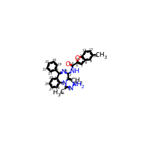 C=C1C(NC(=O)c2cc3cc(C)ccc3o2)N=C(c2ccccc2)c2ccccc2N1/C(C)=N\N